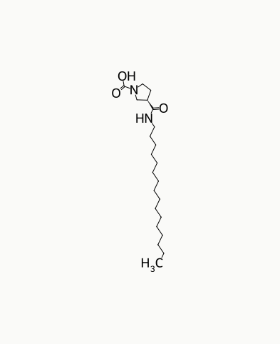 CCCCCCCCCCCCCCCCNC(=O)[C@@H]1CCN(C(=O)O)C1